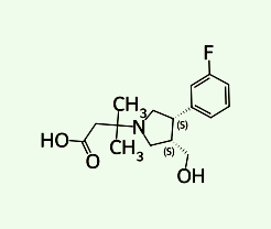 CC(C)(CC(=O)O)N1C[C@@H](CO)[C@@H](c2cccc(F)c2)C1